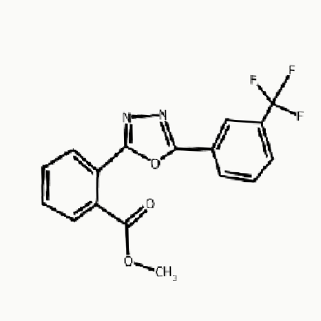 COC(=O)c1ccccc1-c1nnc(-c2cccc(C(F)(F)F)c2)o1